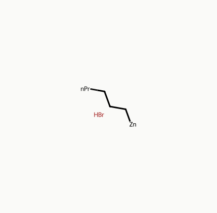 Br.CCCCC[CH2][Zn]